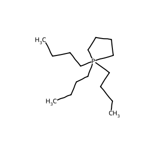 CCCCP1(CCCC)(CCCC)CCCC1